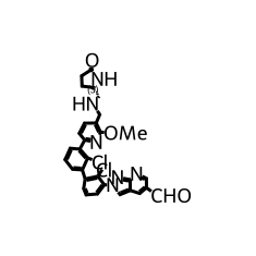 COc1nc(-c2cccc(-c3cccc(-n4cc5cc(C=O)cnc5n4)c3Cl)c2Cl)ccc1CNC[C@@H]1CCC(=O)N1